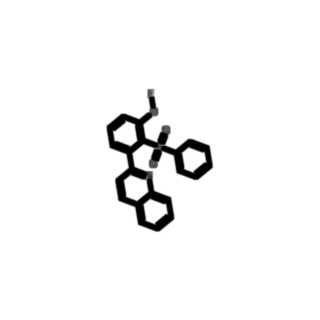 O=S(=O)(c1ccccc1)c1c(OF)cccc1-c1ccc2ccccc2n1